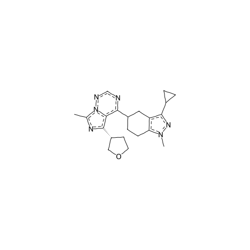 Cc1nc([C@@H]2CCOC2)c2c(C3CCc4c(c(C5CC5)nn4C)C3)ncnn12